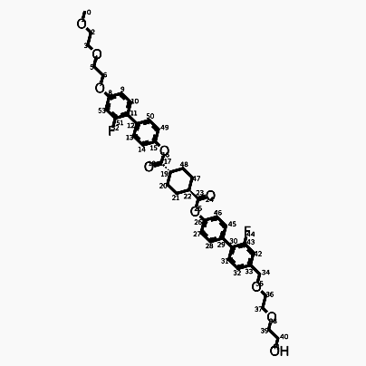 COCCOCCOc1ccc(-c2ccc(OC(=O)[C@H]3CC[C@H](C(=O)Oc4ccc(-c5ccc(COCCOCCO)cc5F)cc4)CC3)cc2)c(F)c1